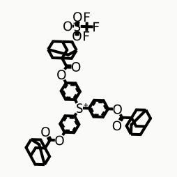 O=C(Oc1ccc([S+](c2ccc(OC(=O)C34CC5CC(CC(C5)C3)C4)cc2)c2ccc(OC(=O)C34CC5CC(CC(C5)C3)C4)cc2)cc1)C12CC3CC(CC(C3)C1)C2.O=S(=O)([O-])C(F)(F)F